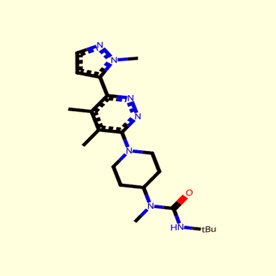 Cc1c(-c2ccnn2C)nnc(N2CCC(N(C)C(=O)NC(C)(C)C)CC2)c1C